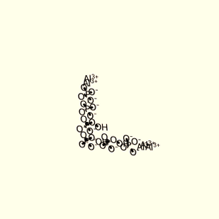 O=P([O-])([O-])OO.O=P([O-])([O-])OO.O=P([O-])([O-])OO.O=P([O-])([O-])[O-].O=P([O-])([O-])[O-].O=P([O-])([O-])[O-].[Al+3].[Al+3].[Al+3].[Al+3].[Al+3]